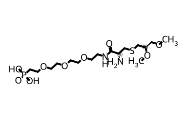 COC[C@H](CSC[C@H](N)C(=O)NCCOCCOCCOCCP(=O)(O)O)OC